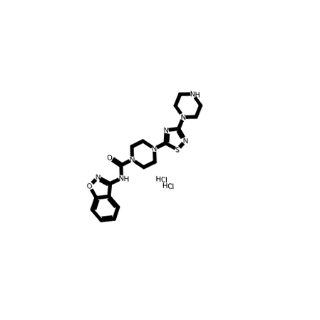 Cl.Cl.O=C(Nc1noc2ccccc12)N1CCN(c2nc(N3CCNCC3)ns2)CC1